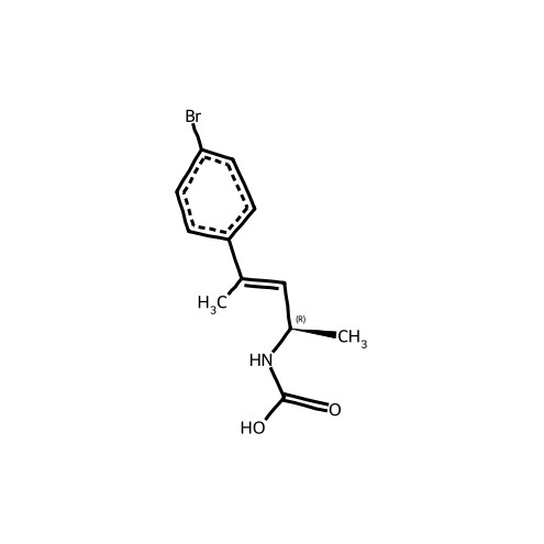 CC(=C[C@@H](C)NC(=O)O)c1ccc(Br)cc1